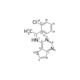 CC(Nc1ncnc2ccsc12)c1ccccc1Cl